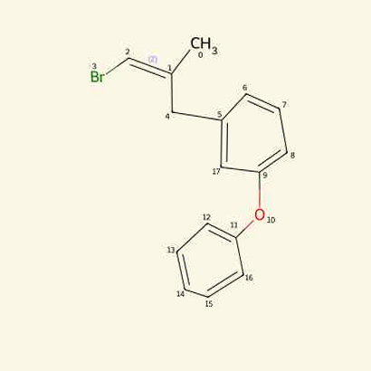 C/C(=C/Br)Cc1cccc(Oc2ccccc2)c1